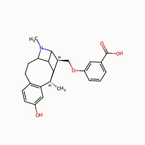 CN1C2CCc3ccc(O)cc3[C@@]3(C)CC2C1[C@H]3COc1cccc(C(=O)O)c1